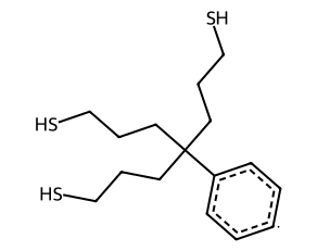 SCCCC(CCCS)(CCCS)c1cc[c]cc1